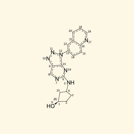 O[C@@H]1CCC(Nc2ncc3nnn(-c4ccc5ncccc5c4)c3n2)C1